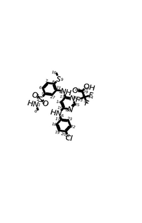 CNS(=O)(=O)c1ccc(SC)c(Nc2cc(Nc3ccc(Cl)cc3)ncn2)c1.O=C(O)C(F)(F)F